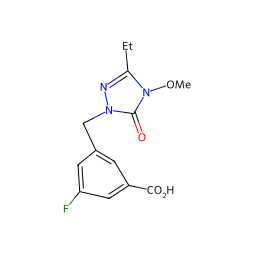 CCc1nn(Cc2cc(F)cc(C(=O)O)c2)c(=O)n1OC